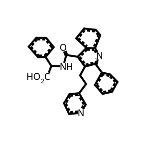 O=C(NC(C(=O)O)c1ccccc1)c1c(CCc2cccnc2)c(-c2ccccc2)nc2ccccc12